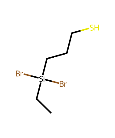 CC[Si](Br)(Br)CCCS